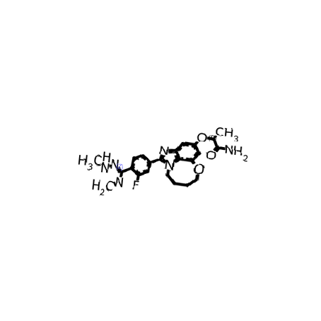 C=N/C(=N\NC)c1ccc(-c2nc3cc(O[C@@H](C)C(N)=O)cc4c3n2CCCCO4)cc1F